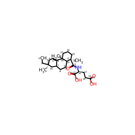 CC[C@@]1(C)CC=C2C(CCC3[C@](C)(C(=O)N[C@@H](CCC(=O)O)C(=O)O)CCC[C@@]23C)C1